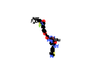 C=C(NCc1ccc(-c2scnc2C)cc1)[C@@H]1CCCN1C(=O)C(NC(=O)CNC(=O)CCCOc1ccc(-c2ccc(N3C(=S)N(c4ccc(C#N)c(C(F)(F)F)c4)C(=O)C3(C)C)c(F)c2)cc1)C(C)(C)C